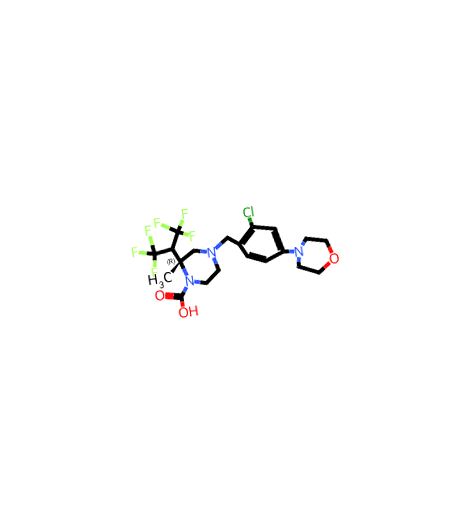 C[C@@]1(C(C(F)(F)F)C(F)(F)F)CN(Cc2ccc(N3CCOCC3)cc2Cl)CCN1C(=O)O